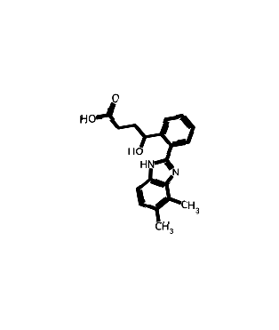 Cc1ccc2[nH]c(-c3ccccc3C(O)CCC(=O)O)nc2c1C